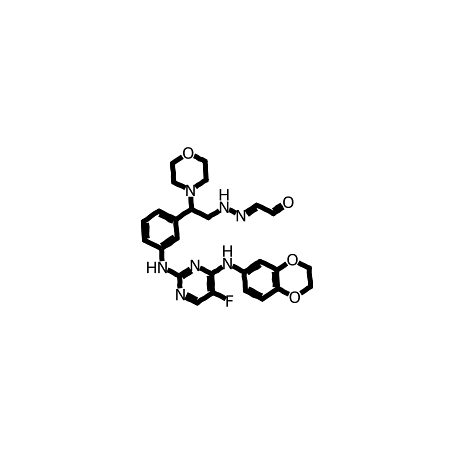 O=CC=NNCC(c1cccc(Nc2ncc(F)c(Nc3ccc4c(c3)OCCO4)n2)c1)N1CCOCC1